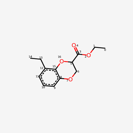 CCOC(=O)C1COc2cccc(CC)c2O1